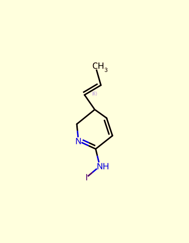 C/C=C/C1C=CC(NI)=NC1